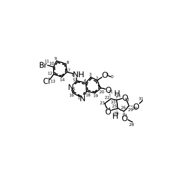 COc1cc2c(Nc3ccc(Br)c(Cl)c3)ncnc2cc1O[C@H]1CO[C@@H]2[C@@H](OC)[C@@H](OC)O[C@@H]21